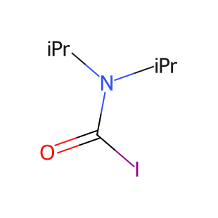 CC(C)N(C(=O)I)C(C)C